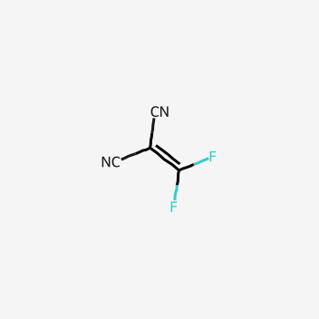 N#CC(C#N)=C(F)F